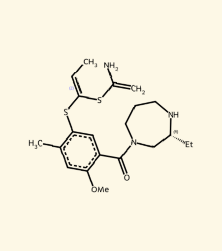 C=C(N)S/C(=C\C)Sc1cc(C(=O)N2CCCN[C@H](CC)C2)c(OC)cc1C